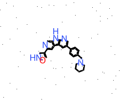 C1=C(c2cc3c(cn2)[nH]c2ncc(-c4ccc(CN5CCCCC5)cc4)cc23)CNO1